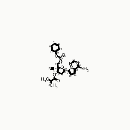 CC(C)C(=O)O[C@H]1C[C@H](c2ccc3c(N)ncnn23)O[C@]1(C#N)CO[PH](=O)Oc1ccccc1